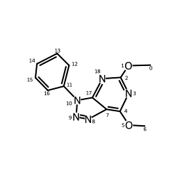 COc1nc(OC)c2nnn(-c3ccccc3)c2n1